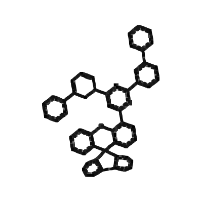 C1=CC(c2cc(-c3cccc4c3Oc3ccccc3C43c4ccccc4-c4ccccc43)nc(-c3cccc(-c4ccccc4)c3)n2)CC(c2ccccc2)=C1